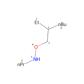 CCCCC(CC)CONCCC